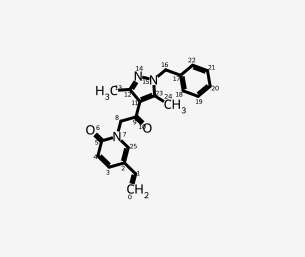 C=Cc1ccc(=O)n(CC(=O)c2c(C)nn(Cc3ccccc3)c2C)c1